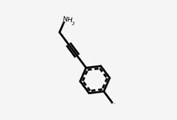 [CH2]c1ccc(C#CCN)cc1